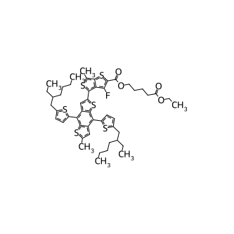 CCCCC(CC)Cc1ccc(-c2c3cc(-c4sc(C)c5sc(C(=O)OCCCCC(=O)OCC)c(F)c45)sc3c(-c3ccc(CC(CC)CCCC)s3)c3cc(C)sc23)s1